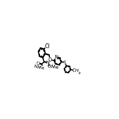 CNC(=O)C(=NOC)c1cccc(Cl)c1COc1ccc(Sc2cccc(C)c2)cn1